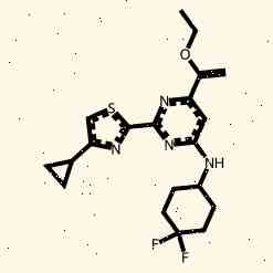 C=C(OCC)c1cc(NC2CCC(F)(F)CC2)nc(-c2nc(C3CC3)cs2)n1